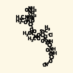 Cc1csc2c(OC(=O)N(C)CCN(C)C(=O)OCc3ccc(N(C(=O)[C@@H](N)C(C)C)[C@@H](CCCNC(N)=O)C(N)=O)cc3)cc3c(c12)[C@H](CCl)CN3C(=O)c1cc2cc(NC(=O)c3cc4cc(OCCN5CCCC5)ccc4[nH]3)ccc2[nH]1